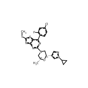 CSc1nc2nc(N3C[C@@H](C)O[C@@H](c4cnn(C5CC5)c4)C3)nc(-c3ccc(Cl)cc3F)c2s1